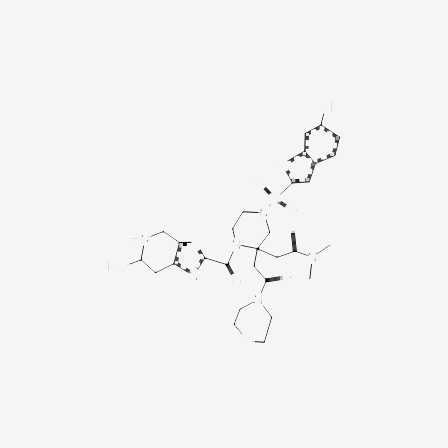 CN(C)C(=O)CC1(CC(=O)N2CCOCC2)CN(S(=O)(=O)c2cc3ccc(Cl)cc3s2)CCN1C(=O)c1nc2c(s1)CNC(O)C2